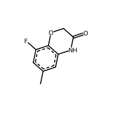 Cc1cc(F)c2c(c1)NC(=O)CO2